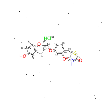 Cc1c(C)c2c(c(C)c1O)CCC(C)(COc1ccc(CC3SC(=O)NC3=O)cc1)O2.Cl